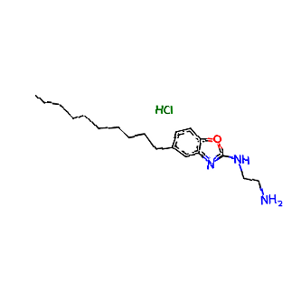 CCCCCCCCCCc1ccc2oc(NCCN)nc2c1.Cl